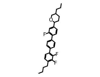 CCCCc1ccc(-c2ccc(-c3ccc(C4CCC(CCC)CO4)cc3F)cc2)c(F)c1F